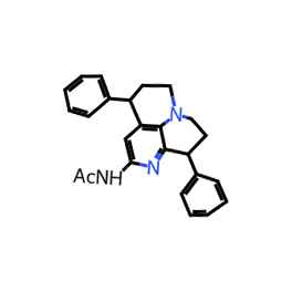 CC(=O)Nc1cc2c3c(n1)C(c1ccccc1)CCN3CCC2c1ccccc1